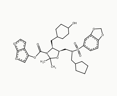 CC1(C)O[C@H](CN(CC2CCCC2)S(=O)(=O)c2ccc3c(c2)OCO3)[C@H](CC2CCC(O)CC2)N1C(=O)Oc1coc2occc12